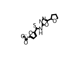 O=[N+]([O-])c1ccc(C(=S)Nc2nnc(C3CCCO3)o2)o1